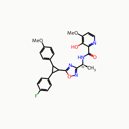 COc1ccc(C2C(c3ccc(F)cc3)C2c2nc([C@H](C)NC(=O)c3nccc(OC)c3O)no2)cc1